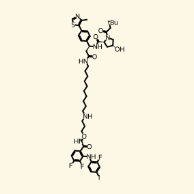 Cc1ncsc1-c1ccc([C@H](CC(=O)NCCCCCCCCCCNCCCONC(=O)c2ccc(F)c(F)c2Nc2ccc(I)cc2F)NC(=O)[C@@H]2C[C@@H](O)CN2C(=O)CC(C)(C)C)cc1